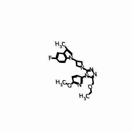 CCOCc1nnc(N2CC(n3cc(C)c4cc(F)ccc43)C2)n1-c1ccc(OC)nc1